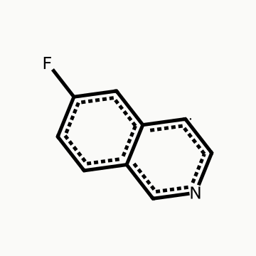 Fc1ccc2cnc[c]c2c1